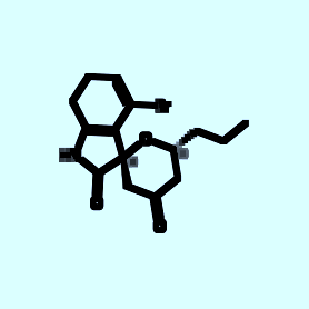 CCC[C@@H]1CC(=O)C[C@@]2(O1)C(=O)NC1=C2C(Br)=CCC1